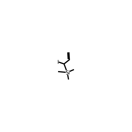 C=CC(I)[Si](C)(C)C